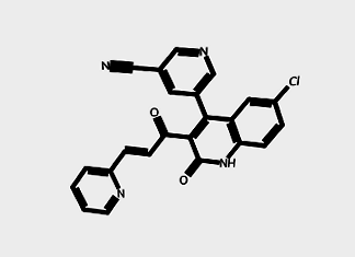 N#Cc1cncc(-c2c(C(=O)C=Cc3ccccn3)c(=O)[nH]c3ccc(Cl)cc23)c1